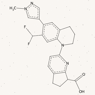 Cn1cc(-c2cc3c(cc2C(F)F)N(c2ccc4c(n2)C(C(=O)O)CC4)CCC3)cn1